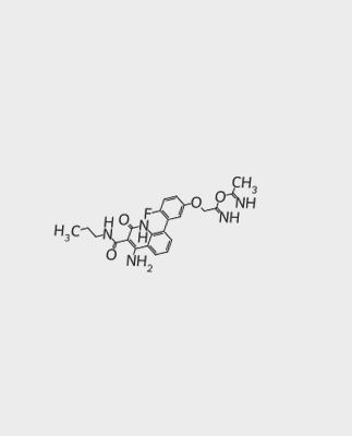 CCCNC(=O)c1c(N)c2cccc(-c3cc(OCC(=N)OC(C)=N)ccc3F)c2[nH]c1=O